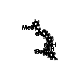 COc1ccccc1CCC(=O)N1CCC(Cc2ccc(NC(=O)Nc3cc(C(C)(C)C)nn3-c3ccc(C)cc3)cc2)CC1